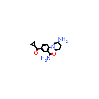 NC(=O)c1cc(C(=O)C2CC2)ccc1N1CCCC(N)C1